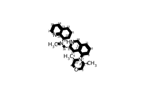 C[C@@H]1COC[C@H](C)N1c1cccc2c1C[C@H](CN(C)[C@H]1CCCc3cccnc31)NC2